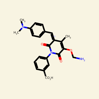 CC1=C(OCN)C(=O)N(c2cccc(C(=O)O)c2)C(=O)/C1=C\c1ccc(N(C)C)cc1